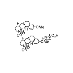 COc1ccc2c(c1)CCN1C[C@H]3CCCN(S(C)(=O)=O)[C@H]3C[C@@H]21.COc1ccc2c(c1)CCN1C[C@H]3CCCN(S(C)(=O)=O)[C@H]3C[C@@H]21.O=C(O)CCC(=O)O